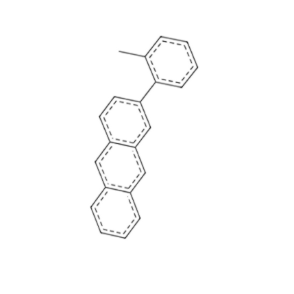 Cc1ccccc1-c1ccc2cc3ccccc3cc2c1